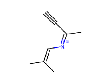 C#C/C(C)=N\C=C(C)C